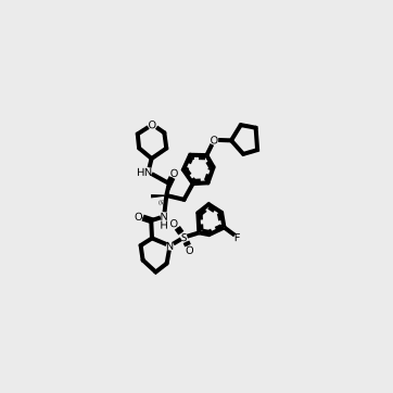 C[C@@](Cc1ccc(OC2CCCC2)cc1)(NC(=O)C1CCCCN1S(=O)(=O)c1cccc(F)c1)C(=O)NC1CCOCC1